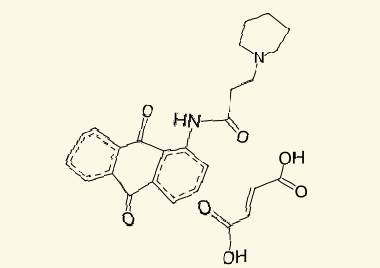 O=C(CCN1CCCCC1)Nc1cccc2c1C(=O)c1ccccc1C2=O.O=C(O)C=CC(=O)O